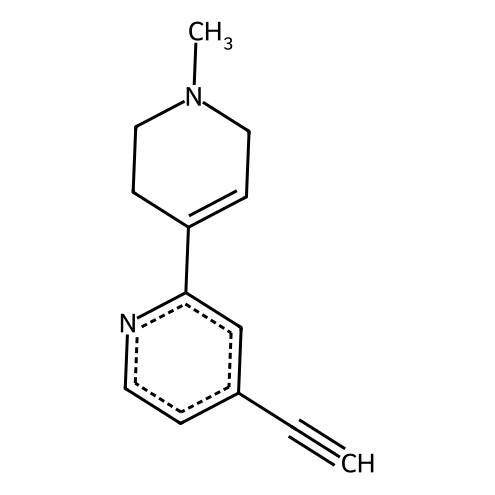 C#Cc1ccnc(C2=CCN(C)CC2)c1